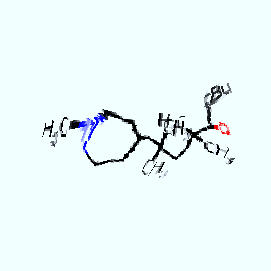 CN1CCC(C(C)(C)CC(C)(C)C(=O)C(C)(C)C)CC1